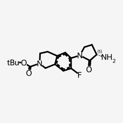 CC(C)(C)OC(=O)N1CCc2cc(N3CC[C@H](N)C3=O)c(F)cc2C1